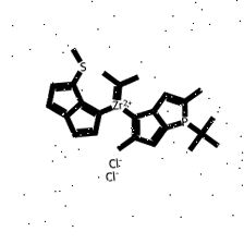 CSC1=CC=C2C=C[C]([Zr+2]([C]3=C(C)C=C4C3C=C(C)P4C(C)(C)C)=[C](C)C)=C21.[Cl-].[Cl-]